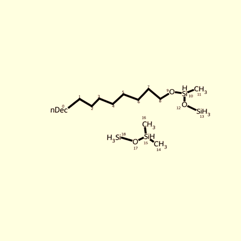 CCCCCCCCCCCCCCCCCCO[SiH](C)O[SiH3].C[SiH](C)O[SiH3]